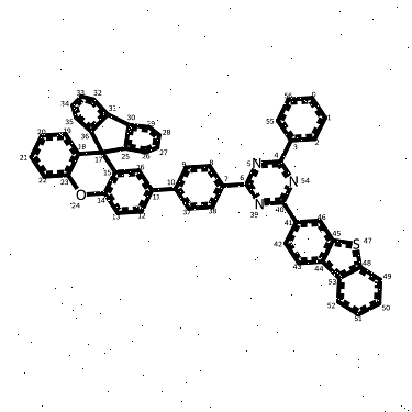 c1ccc(-c2nc(-c3ccc(-c4ccc5c(c4)C4(c6ccccc6O5)c5ccccc5-c5ccccc54)cc3)nc(-c3ccc4c(c3)sc3ccccc34)n2)cc1